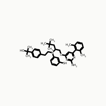 Cc1cccc(C)c1-c1cc(OCC(CC(C)(C)C)N(CCc2ccc(C(C)(C)O)cc2)c2cccc(S)c2)nc(N)n1